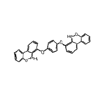 c1ccc2c(c1)OPc1c(Oc3ccc(Oc4cccc5c4POc4ccccc4-5)cc3)cccc1-2